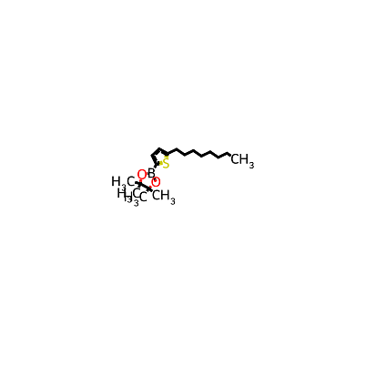 CCCCCCCCc1ccc(B2OC(C)(C)C(C)(C)O2)s1